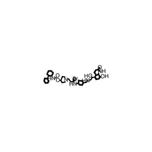 O=C(CCN1CCC(OC(=O)Nc2ccccc2-c2ccccc2)CC1)Nc1ccc(CNC[C@H](O)c2ccc(O)c3[nH]c(=O)ccc23)cc1Br